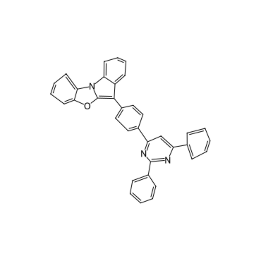 c1ccc(-c2cc(-c3ccc(-c4c5ccccc5n5c4oc4ccccc45)cc3)nc(-c3ccccc3)n2)cc1